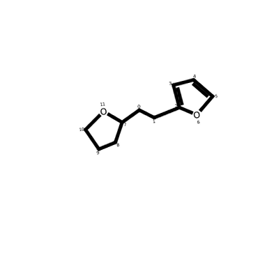 [CH](Cc1ccco1)C1CCCO1